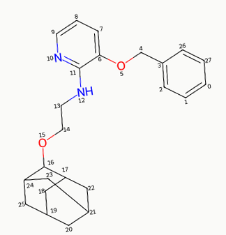 c1ccc(COc2cccnc2NCCOC2C3CC4CC(C3)CC2C4)cc1